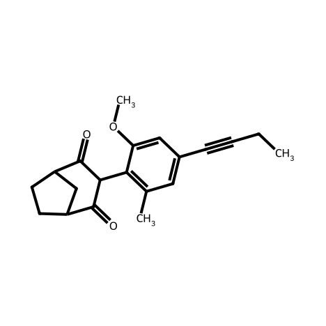 CCC#Cc1cc(C)c(C2C(=O)C3CCC(C3)C2=O)c(OC)c1